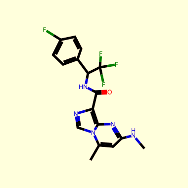 CNc1cc(C)n2cnc(C(=O)NC(c3ccc(F)cc3)C(F)(F)F)c2n1